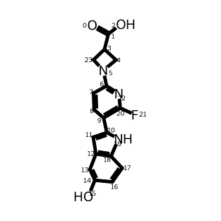 O=C(O)C1CN(c2ccc(-c3cc4cc(O)ccc4[nH]3)c(F)n2)C1